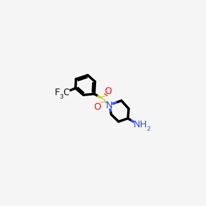 NC1CCN(S(=O)(=O)c2cccc(C(F)(F)F)c2)CC1